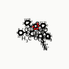 CC1C(OC(=O)c2ccccc2)[C@H](OC(=O)c2ccccc2)C(COC(=O)c2ccccc2)O[C@@H]1O[C@H]1OC(CN=[N+]=[N-])[C@@H](C)[C@H](OC(=O)c2ccccc2)C1OC(=O)c1ccccc1